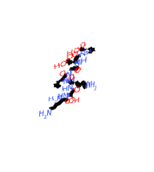 CC(C)C[C@H](NC(=O)[C@H](CC(=O)O)NC(=O)CNC(=O)[C@H](CC(C)C)NC(=O)[C@H](CCCCN)NC(=O)[C@H](CO)NC(=O)[C@@H](N)CCCCN)C(=O)O